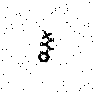 CN(C(=O)NC(C)(C)C)c1ccccn1